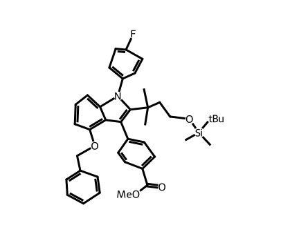 COC(=O)c1ccc(-c2c(C(C)(C)CCO[Si](C)(C)C(C)(C)C)n(-c3ccc(F)cc3)c3cccc(OCc4ccccc4)c23)cc1